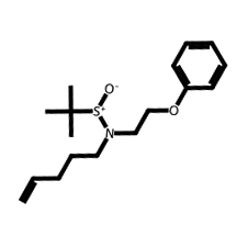 C=CCCCN(CCOc1ccccc1)[S+]([O-])C(C)(C)C